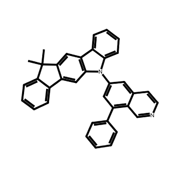 CC1(C)c2ccccc2-c2cc3c(cc21)c1ccccc1n3-c1cc(-c2ccccc2)c2cnccc2c1